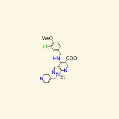 CC[N+]1(Cc2ccncc2)N=Cc2c1ncc(C(=O)[O-])c2NCc1ccc(OC)c(Cl)c1